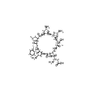 CC(C)C[C@@H]1NC(=O)[C@@H](Cc2ccccc2)NC(=O)[C@H](CCN)NC(=O)[C@@H](NC(=O)[C@@H](N)CC(=O)O)CCNC(=O)[C@H]([C@@H](C)O)NC(=O)[C@H](CCN)NC(=O)[C@H](CCN)NC1=O